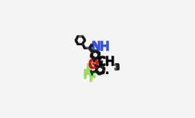 Cc1c[c]cc(C(F)(F)F)c1Oc1ccc2[nH]cc(CC3CCCCC3)c2c1